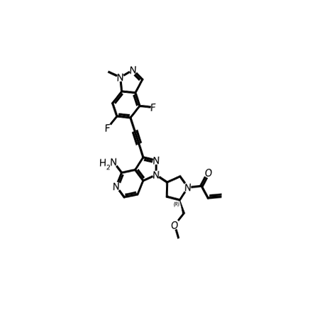 C=CC(=O)N1CC(n2nc(C#Cc3c(F)cc4c(cnn4C)c3F)c3c(N)nccc32)C[C@@H]1COC